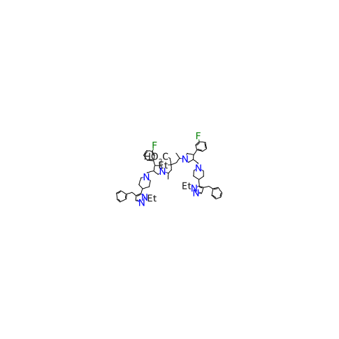 CCn1ncc(Cc2ccccc2)c1C1CCN(CC2CN(C(C)CC(CC)(CC(=O)O)CC(C)N3CC(CN4CCC(c5c(Cc6ccccc6)cnn5CC)CC4)C(c4cccc(F)c4)C3)CC2c2cccc(F)c2)CC1